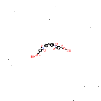 O=C(COCCO)c1ccc2c(c1)C(=O)N(c1ccc(Cc3ccc(N4C(=O)c5ccc(C(=O)COCCO)cc5C4=O)cc3)cc1)C2=O